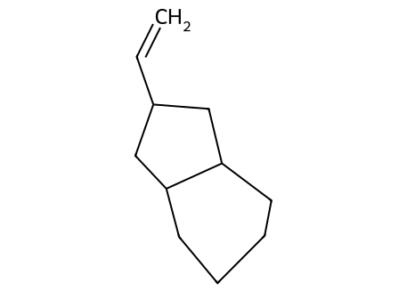 C=CC1CC2CCCCC2C1